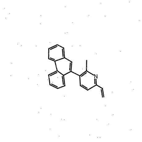 C=Cc1ccc(-c2cc3ccccc3c3ccccc23)c(C)n1